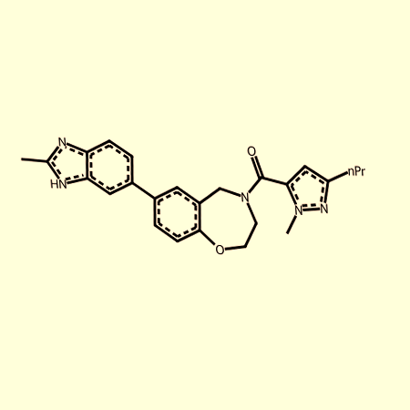 CCCc1cc(C(=O)N2CCOc3ccc(-c4ccc5nc(C)[nH]c5c4)cc3C2)n(C)n1